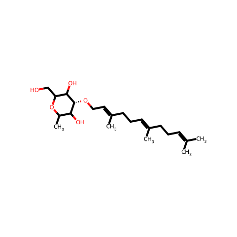 CC(C)=CCC/C(C)=C/CC/C(C)=C/CO[C@@H]1C(O)C(C)OC(CO)C1O